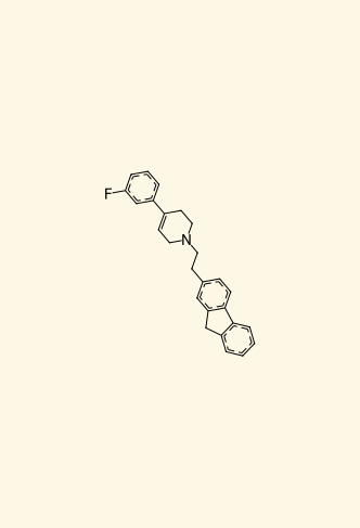 Fc1cccc(C2=CCN(CCc3ccc4c(c3)Cc3ccccc3-4)CC2)c1